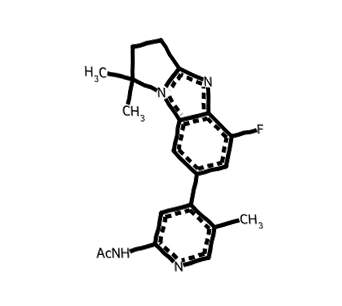 CC(=O)Nc1cc(-c2cc(F)c3nc4n(c3c2)C(C)(C)CC4)c(C)cn1